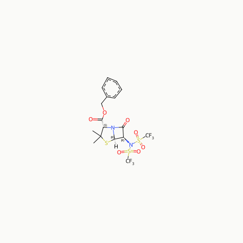 CC1(C)S[C@@H]2[C@H](N(S(=O)(=O)C(F)(F)F)S(=O)(=O)C(F)(F)F)C(=O)N2[C@H]1C(=O)OCc1ccccc1